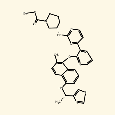 Cc1ccc2c(N[C@@H](C)c3cscn3)cccc2c1Oc1ncccc1-c1ccnc(N[C@H]2CCCN(C(=O)OC(C)(C)C)C2)n1